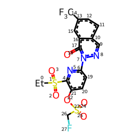 CCS(=O)(=O)c1nc(-n2ncc3ccc(C(F)(F)F)cc3c2=O)ccc1OS(=O)(=O)CF